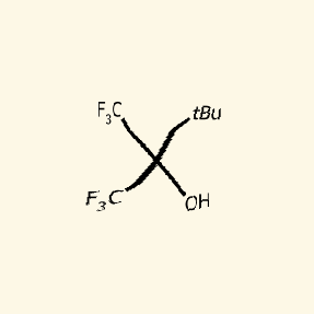 CC(C)(C)C(O)(C(F)(F)F)C(F)(F)F